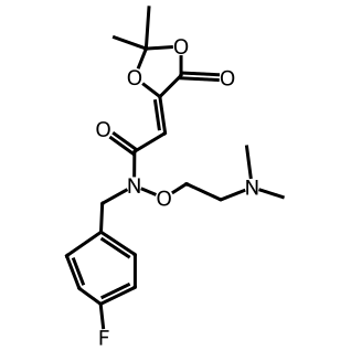 CN(C)CCON(Cc1ccc(F)cc1)C(=O)C=C1OC(C)(C)OC1=O